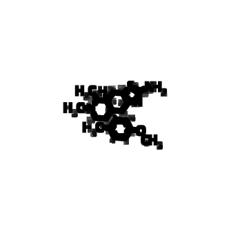 COc1ccc(C)c([C@]23CCN(C)C(C)[C@@H]2Cc2sc(N)nc2C3)c1